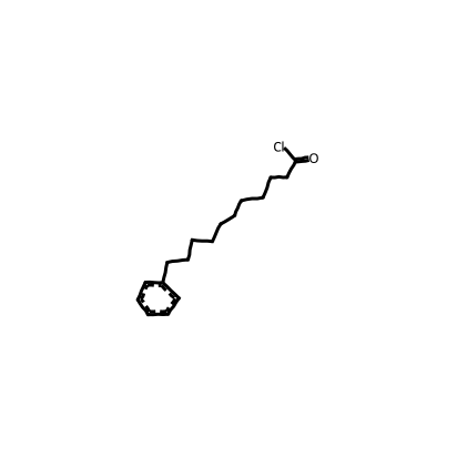 O=C(Cl)CCCCCCCCCCc1ccccc1